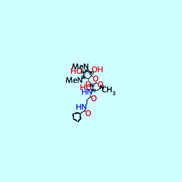 CN[C@@H]1[C@H](O)[C@H](NC)C2O[C@]3(O)C(OC2[C@@H]1O)O[C@H](C)C[C@H]3NC(=O)CCNC(=O)c1ccccc1